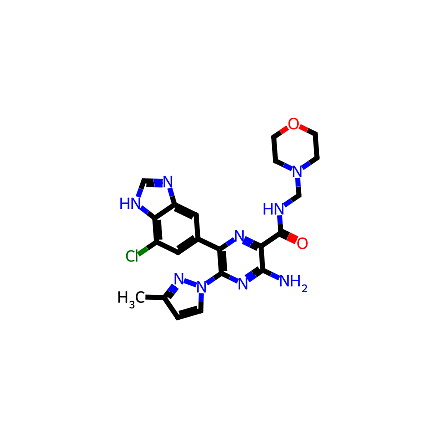 Cc1ccn(-c2nc(N)c(C(=O)NCN3CCOCC3)nc2-c2cc(Cl)c3[nH]cnc3c2)n1